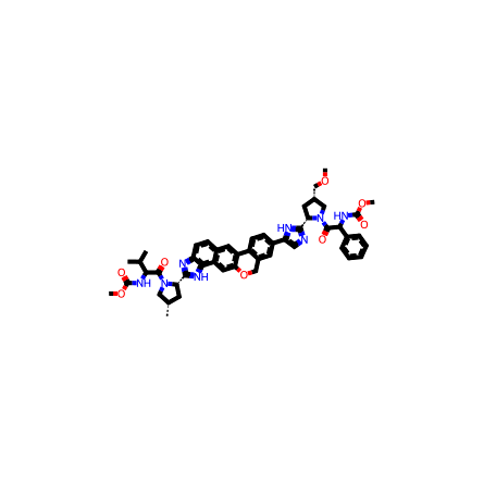 COC[C@H]1C[C@@H](c2ncc(-c3ccc4c(c3)COc3cc5c(ccc6nc([C@@H]7C[C@H](C)CN7C(=O)C(NC(=O)OC)C(C)C)[nH]c65)cc3-4)[nH]2)N(C(=O)C(NC(=O)OC)c2ccccc2)C1